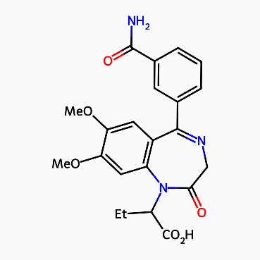 CCC(C(=O)O)N1C(=O)CN=C(c2cccc(C(N)=O)c2)c2cc(OC)c(OC)cc21